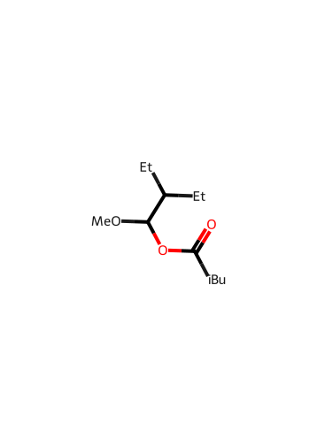 CCC(C)C(=O)OC(OC)C(CC)CC